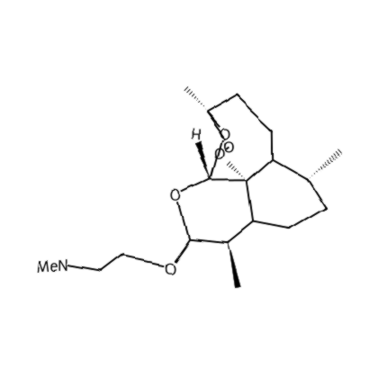 CNCCOC1O[C@@H]2O[C@]3(C)CCC4[C@H](C)CCC([C@H]1C)[C@]42OO3